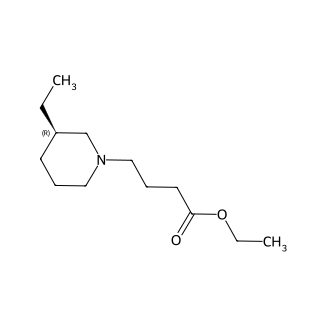 CCOC(=O)CCCN1CCC[C@@H](CC)C1